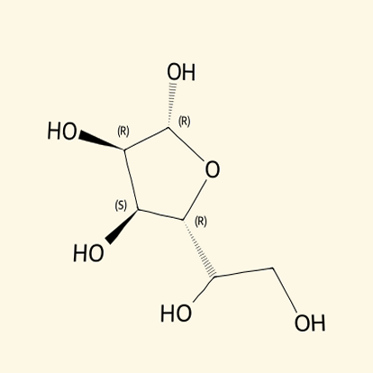 OCC(O)[C@H]1O[C@@H](O)[C@H](O)[C@@H]1O